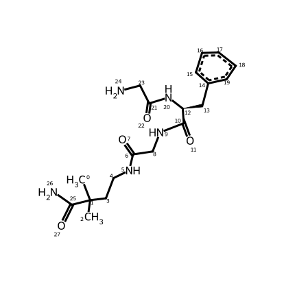 CC(C)(CCNC(=O)CNC(=O)[C@H](Cc1ccccc1)NC(=O)CN)C(N)=O